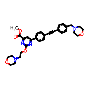 COC(=O)c1cc(-c2ccc(C#Cc3ccc(CN4CCOCC4)cc3)cc2)nc(OCCN2CCOCC2)n1